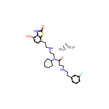 CS(=O)(=O)O.CS(=O)(=O)O.O=C(CCNCCc1cccc(F)c1)N(CCNCCc1ccc(O)c2[nH]c(=O)sc12)C1CCCCC1